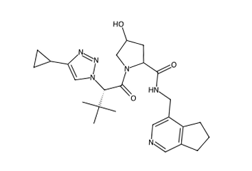 CC(C)(C)[C@@H](C(=O)N1CC(O)CC1C(=O)NCc1cncc2c1CCC2)n1cc(C2CC2)nn1